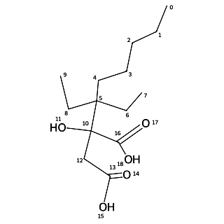 CCCCCC(CC)(CC)C(O)(CC(=O)O)C(=O)O